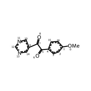 COc1ccc(C(=O)C(=O)c2cncnc2)cc1